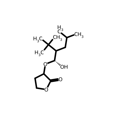 CC(C)CC([C@H](O)OC1CCOC1=O)C(C)(C)C